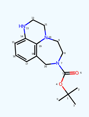 CC(C)(C)OC(=O)N1CCN2CCNc3cccc(c32)C1